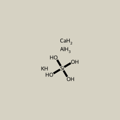 O[Si](O)(O)O.[AlH3].[CaH2].[KH]